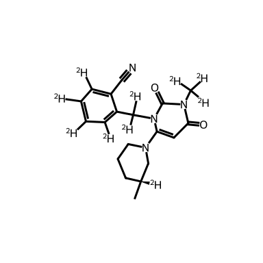 [2H]c1c([2H])c([2H])c(C([2H])([2H])n2c(N3CCC[C@@]([2H])(C)C3)cc(=O)n(C([2H])([2H])[2H])c2=O)c(C#N)c1[2H]